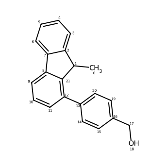 CC1c2ccccc2-c2cccc(-c3ccc(CO)cc3)c21